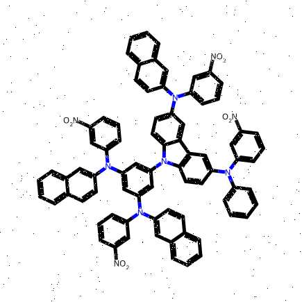 O=[N+]([O-])c1cccc(N(c2cc(N(c3cccc([N+](=O)[O-])c3)c3ccc4ccccc4c3)cc(-n3c4ccc(N(c5ccccc5)c5cccc([N+](=O)[O-])c5)cc4c4cc(N(c5cccc([N+](=O)[O-])c5)c5ccc6ccccc6c5)ccc43)c2)c2ccc3ccccc3c2)c1